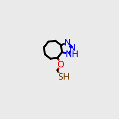 SCOC1CCCCCC2N=NNC21